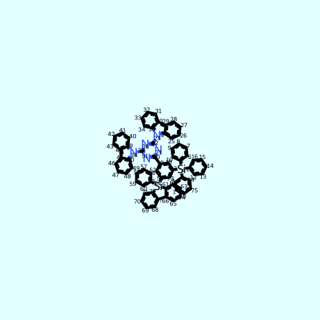 c1ccc([Si](c2ccccc2)(c2ccccc2)c2cc(-c3nc(-n4c5ccccc5c5ccccc54)nc(-n4c5ccccc5c5ccccc54)n3)cc([Si]3(c4ccccc4)c4ccccc4-c4ccccc43)c2)cc1